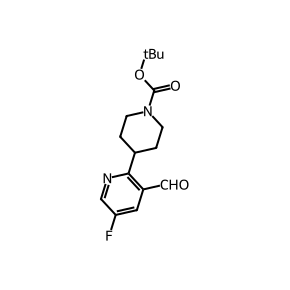 CC(C)(C)OC(=O)N1CCC(c2ncc(F)cc2C=O)CC1